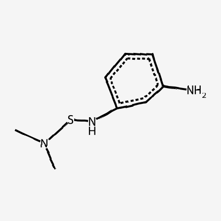 CN(C)SNc1cccc(N)c1